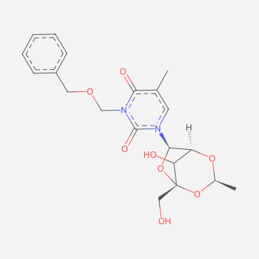 Cc1cn([C@@H]2O[C@@]3(CO)O[C@H](C)O[C@H]2C3O)c(=O)n(COCc2ccccc2)c1=O